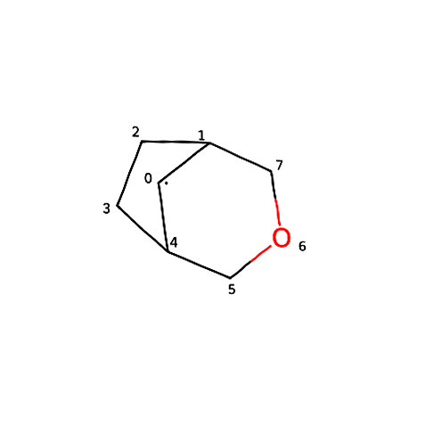 [CH]1C2CCC1COC2